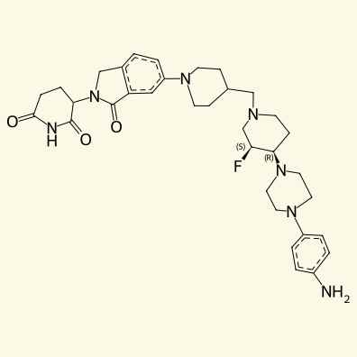 Nc1ccc(N2CCN([C@@H]3CCN(CC4CCN(c5ccc6c(c5)C(=O)N(C5CCC(=O)NC5=O)C6)CC4)C[C@@H]3F)CC2)cc1